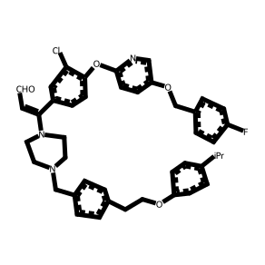 CC(C)c1ccc(OCCc2ccc(CN3CCN(/C(=C/C=O)c4ccc(Oc5ccc(OCc6ccc(F)cc6)cn5)c(Cl)c4)CC3)cc2)cc1